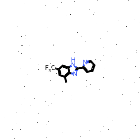 Cc1cc(C(F)(F)F)cc2[nH]c(-c3ccccn3)nc12